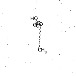 CCCCCCCCCCCCCC(=O)OS(=O)(=O)CCO